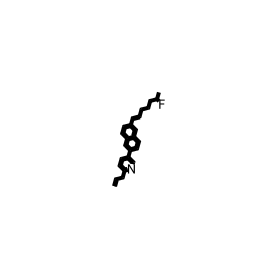 C=CCc1ccc(-c2ccc3cc(C=CCCCC(C)F)ccc3c2)cn1